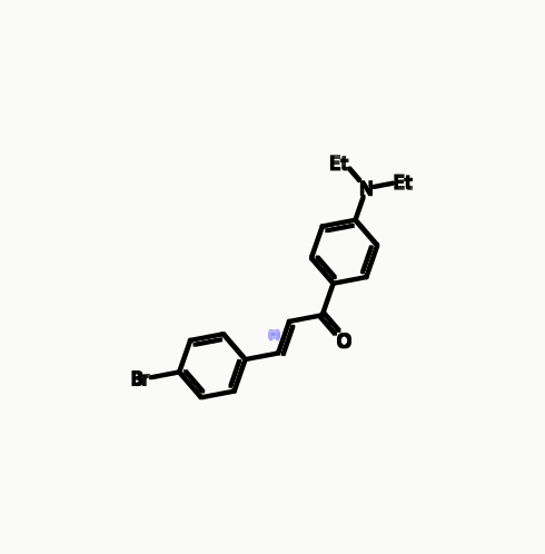 CCN(CC)c1ccc(C(=O)/C=C/c2ccc(Br)cc2)cc1